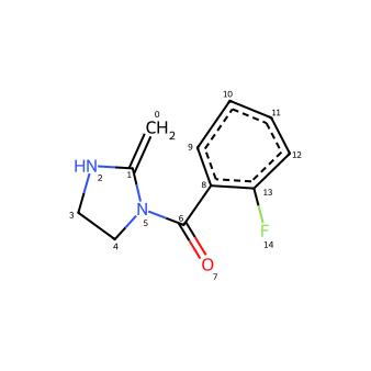 C=C1NCCN1C(=O)c1ccccc1F